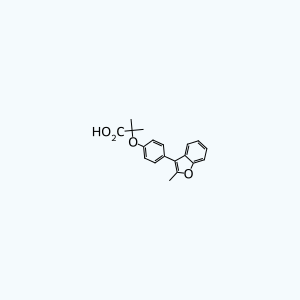 Cc1oc2ccccc2c1-c1ccc(OC(C)(C)C(=O)O)cc1